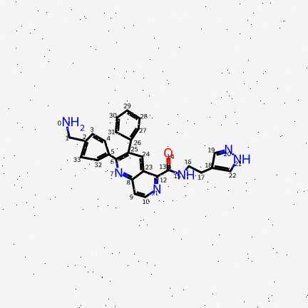 NCc1ccc(-c2nc3ccnc(C(=O)NCCc4cn[nH]c4)c3cc2-c2ccccc2)cc1